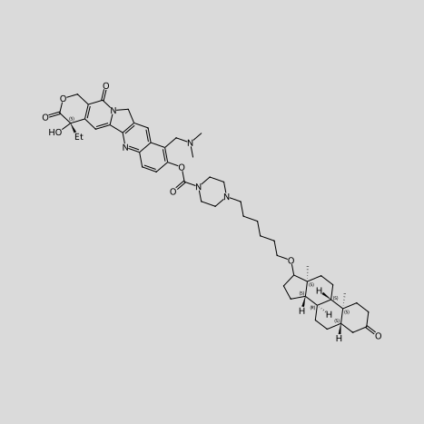 CC[C@@]1(O)C(=O)OCc2c1cc1n(c2=O)Cc2cc3c(CN(C)C)c(OC(=O)N4CCN(CCCCCCOC5CC[C@H]6[C@@H]7CC[C@H]8CC(=O)CC[C@]8(C)[C@H]7CC[C@]56C)CC4)ccc3nc2-1